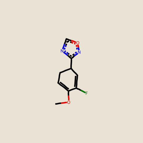 COC1=CCC(c2ncon2)C=C1F